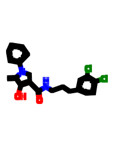 C=C1C(O)=C(C(=O)NCCCc2ccc(Cl)c(Cl)c2)CN1c1ccccc1